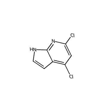 Clc1cc(Cl)c2cc[nH]c2n1